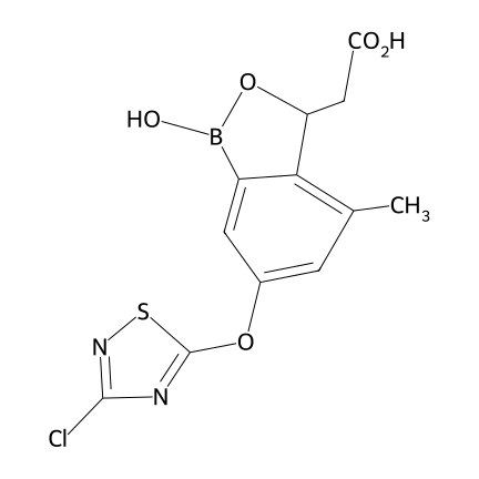 Cc1cc(Oc2nc(Cl)ns2)cc2c1C(CC(=O)O)OB2O